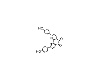 O=C1C(=O)c2ccc(-c3ccc(O)cc3)nc2-c2nc(-c3ccc(O)cc3)ccc21